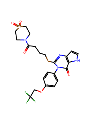 O=C(CCCSc1nc2cc[nH]c2c(=O)n1-c1ccc(OCC(F)(F)F)cc1)N1CCS(=O)(=O)CC1